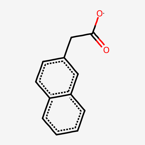 [O]C(=O)Cc1ccc2ccccc2c1